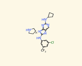 FC(F)(F)c1cc(Cl)cc(Nc2nc3cnc(NC4CCC4)nc3n2[C@@H]2CCNC2)c1